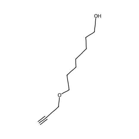 C#CCOCCCCCCCO